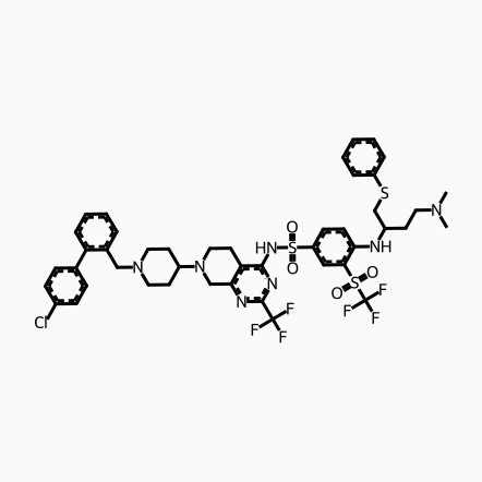 CN(C)CCC(CSc1ccccc1)Nc1ccc(S(=O)(=O)Nc2nc(C(F)(F)F)nc3c2CCN(C2CCN(Cc4ccccc4-c4ccc(Cl)cc4)CC2)C3)cc1S(=O)(=O)C(F)(F)F